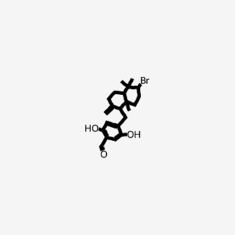 C=C1CCC2C(C)(C)C(Br)CCC2(C)C1Cc1cc(O)c(C=O)cc1O